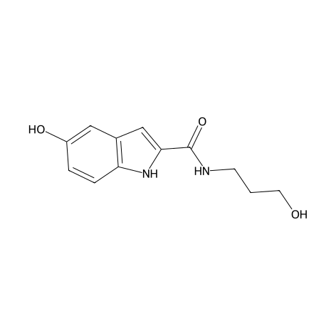 O=C(NCCCO)c1cc2cc(O)ccc2[nH]1